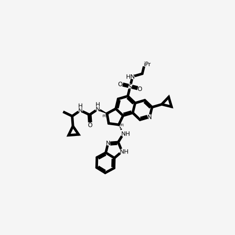 CC(C)CNS(=O)(=O)c1cc2c(c3cnc(C4CC4)cc13)[C@H](Nc1nc3ccccc3[nH]1)C[C@H]2NC(=O)NC(C)C1CC1